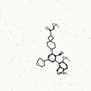 C=CC(=O)N1CC2(CCN(c3cc(N4CCOCC4)cc(-c4c(C)ccc5[nH]ncc45)c3C#N)CC2)C1